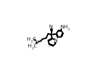 CN(C)CCCCC(C#N)(c1cccc(N)c1)c1ccccn1